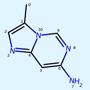 Cc1cnc2cc(N)ncn12